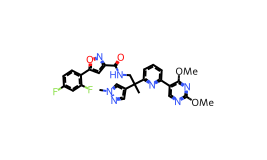 COc1ncc(-c2cccc(C(C)(CNC(=O)c3cc(-c4ccc(F)cc4F)on3)c3cnn(C)c3)n2)c(OC)n1